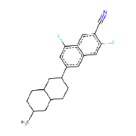 CC1CCC2CC(c3cc(F)c4cc(C#N)c(F)cc4c3)CCC2C1